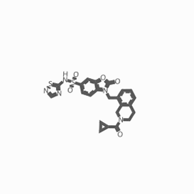 O=C(C1CC1)N1CCc2cccc(Cn3c(=O)oc4cc(S(=O)(=O)Nc5ncns5)ccc43)c2C1